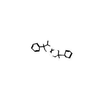 CC1OC2(OCC(O)(c3ccccc3)CO2)OCC1(O)c1ccccc1